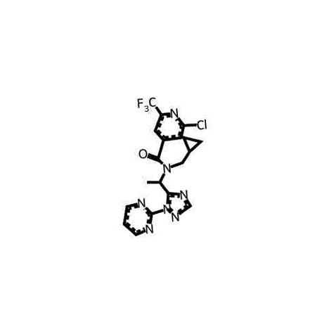 CC(c1ncnn1-c1ncccn1)N(CC1CC1)C(=O)c1cc(Cl)nc(C(F)(F)F)c1